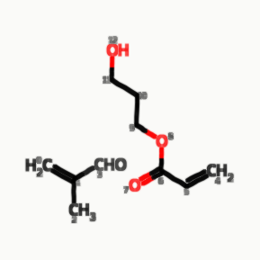 C=C(C)C=O.C=CC(=O)OCCCO